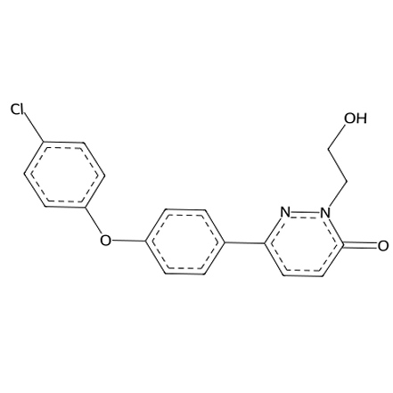 O=c1ccc(-c2ccc(Oc3ccc(Cl)cc3)cc2)nn1CCO